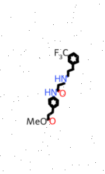 COC(=O)CCc1ccc(NC(=O)CCNCCCc2cccc(C(F)(F)F)c2)cc1